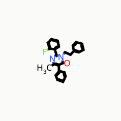 Cc1nc(-c2ccccc2F)n(CCc2ccccc2)c(=O)c1-c1ccccc1